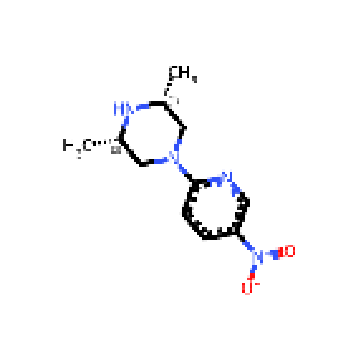 C[C@@H]1CN(c2ccc([N+](=O)[O-])cn2)C[C@H](C)N1